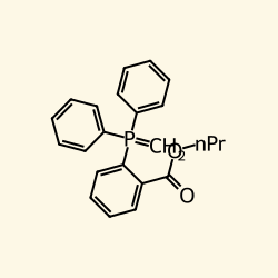 C=P(c1ccccc1)(c1ccccc1)c1ccccc1C(=O)OCCC